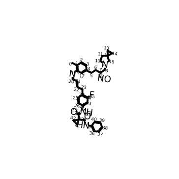 Cc1ccc(CCC(CN2CCC3(CC3)C2)N=O)cc1/N=C\C=C\Cc1ccc(NC(=O)C2(C(=O)Nc3ccccc3)CC2)cc1F